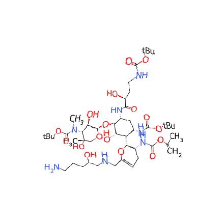 C=C(C)OC(=O)N[C@@H]1CC=C(CNCC(O)CCCN)O[C@@H]1C1[C@@H](NC(=O)OC(C)(C)C)C[C@@H](NC(=O)[C@@H](O)CCNC(=O)OC(C)(C)C)[C@H](O[C@H]2OC[C@](C)(O)[C@H](N(C)C(=O)OC(C)(C)C)[C@H]2O)[C@H]1O